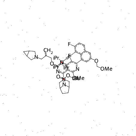 C=C(COc1nc(N2CC3CCC(C2)N3C(=O)OC(C)(C)C)c2c(OC)nc(-c3cc(OCOC)cc4ccc(F)c(C#C[Si](C(C)C)(C(C)C)C(C)C)c34)c(F)c2n1)CN1CC2CC2C1